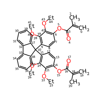 C=C(C)C(=O)Oc1ccc(C2(c3ccc(OC(=O)C(=C)C)c(OCC)c3OCC)c3ccccc3-c3ccccc32)c(OCC)c1OCC